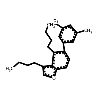 CCCCc1coc2ccc(-c3cc(C)cc(C)c3)c(CCCC)c12